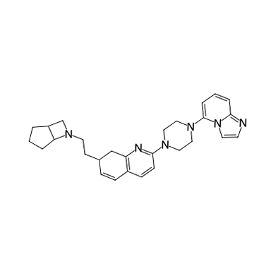 C1=CC(CCN2CC3CCCC32)Cc2nc(N3CCN(c4cccc5nccn45)CC3)ccc21